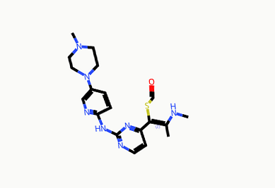 CN/C(C)=C(\SC=O)c1ccnc(Nc2ccc(N3CCN(C)CC3)cn2)n1